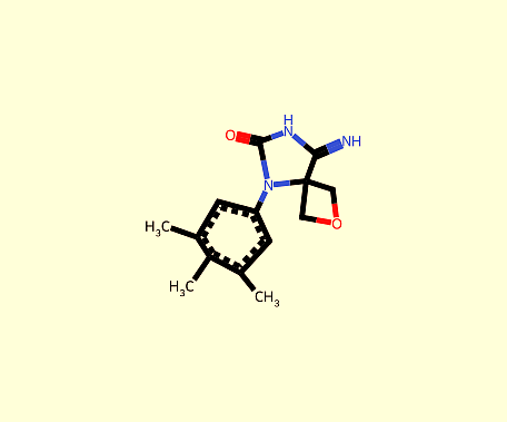 Cc1cc(N2C(=O)NC(=N)C23COC3)cc(C)c1C